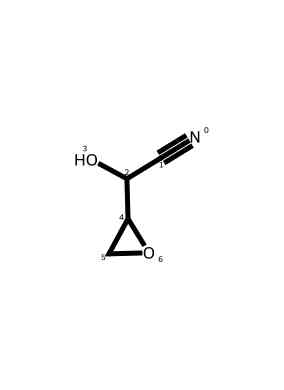 N#CC(O)C1CO1